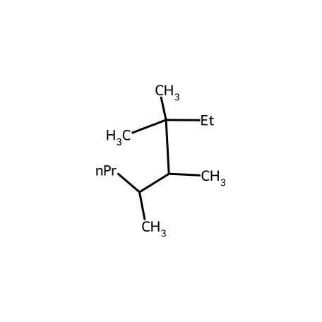 CCCC(C)C(C)C(C)(C)CC